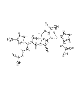 Nc1nc(C(=NOCC(=O)O)C(=O)NC2C(=O)N3CC(CSc4nnnn4CC(=O)O)(C(=O)O)CS[C@H]23)ns1